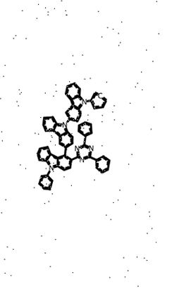 c1ccc(-c2nc(-c3ccccc3)nc(-c3ccc4c(c3-c3ccc5c(c3)c3ccccc3n5-c3ccc5c(c3)c3ccccc3n5-c3ccccc3)c3ccccc3n4-c3ccccc3)n2)cc1